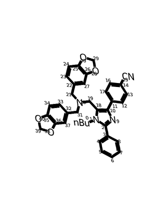 CCCCn1c(-c2ccccc2)nc(-c2ccc(C#N)cc2)c1CN(Cc1ccc2c(c1)OCO2)Cc1ccc2c(c1)OCO2